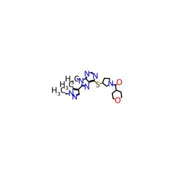 CCn1ncc(-c2nc3c(S[C@H]4CCN(C(=O)C5CCOCC5)C4)ncnc3n2C)c1C